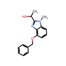 CC(O)c1nc2c(OCc3ccccc3)cccc2n1C